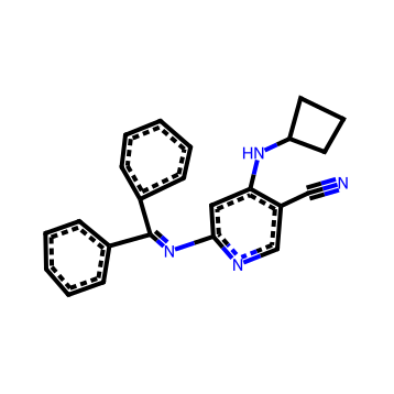 N#Cc1cnc(N=C(c2ccccc2)c2ccccc2)cc1NC1CCC1